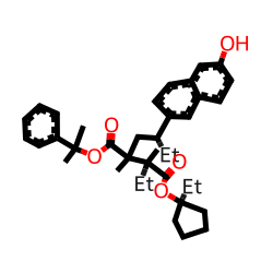 CCC(CC(C)(C(=O)OC(C)(C)c1ccccc1)C(C)(CC)C(=O)OC1(CC)CCCC1)c1ccc2cc(O)ccc2c1